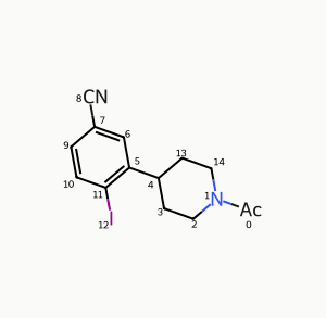 CC(=O)N1CCC(c2cc(C#N)ccc2I)CC1